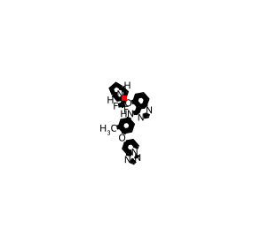 Cc1cc(Nc2ncnc3cccc(O[C@H]4C[C@H]5CC[C@@H](C4)N5CC(F)F)c23)ccc1Oc1ccn2ncnc2c1